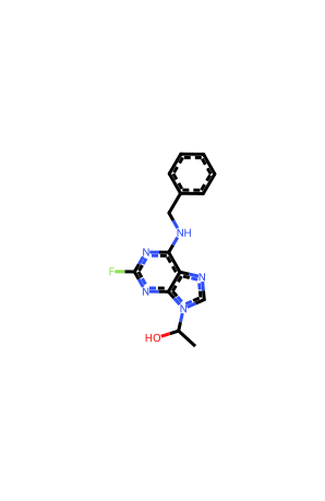 CC(O)n1cnc2c(NCc3ccccc3)nc(F)nc21